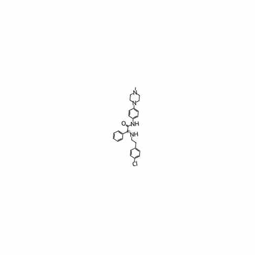 CN1CCN(c2ccc(NC(=O)[C@H](NCCc3ccc(Cl)cc3)c3ccccc3)cc2)CC1